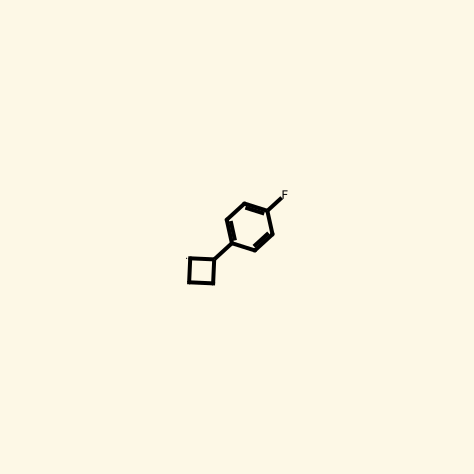 Fc1ccc(C2[CH]CC2)cc1